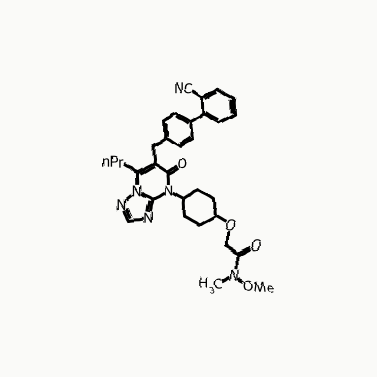 CCCc1c(Cc2ccc(-c3ccccc3C#N)cc2)c(=O)n(C2CCC(OCC(=O)N(C)OC)CC2)c2ncnn12